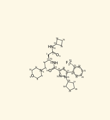 O=C(C[C@H](CCN1CCOCC1)NC(=O)c1cc(-c2ccccc2C(F)(F)F)n(C2CCCC2)n1)NC1CCC1